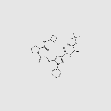 C[C@@H](NC(=O)c1cc(OCC(=O)N2CCC[C@H]2C(=O)NC2CCC2)n(-c2ccccc2)n1)C(=O)OC(C)(C)C